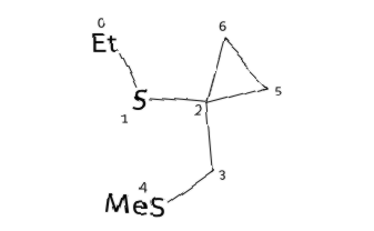 CCSC1(CSC)CC1